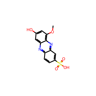 COc1cc(O)cc2nc3ccc(S(=O)(=O)O)cc3nc12